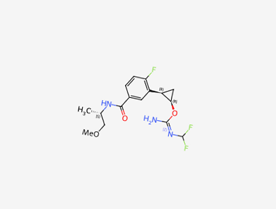 COC[C@H](C)NC(=O)c1ccc(F)c([C@H]2C[C@H]2O/C(N)=N\C(F)F)c1